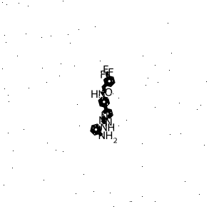 Nc1ccccc1Nc1nc2ccc(-c3ccc(NC(=O)Cc4cccc(C(F)(F)F)c4)cc3)cn2n1